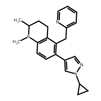 CC1CCc2c(ccc(-c3cnn(C4CC4)c3)c2Cc2ccccn2)N1C